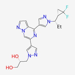 CC[C@@H]([C@@H]1CC1(F)F)n1cc(-c2nc(-c3cnn(C[C@@H](O)CO)c3)cn3nccc23)cn1